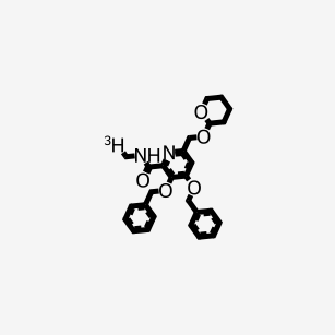 [3H]CNC(=O)c1nc(COC2CCCCO2)cc(OCc2ccccc2)c1OCc1ccccc1